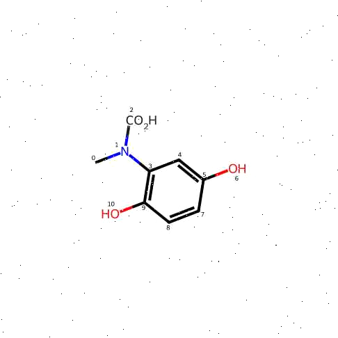 CN(C(=O)O)c1cc(O)ccc1O